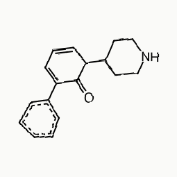 O=C1C(c2ccccc2)=CC=CC1C1CCNCC1